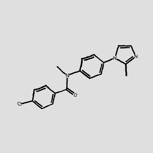 Cc1nccn1-c1ccc(N(C)C(=O)c2ccc(Cl)cc2)cc1